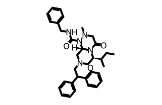 CCC(C)[C@H]1C(=O)N(CC(c2ccccc2)c2ccccc2)C[C@H]2N1C(=O)CN(C)N2C(=O)NCc1ccccc1